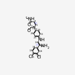 CNC(=O)/C=C\N(C=O)c1ccc(N/C=C(\N)c2ccc(Cl)c(Cl)c2)cc1